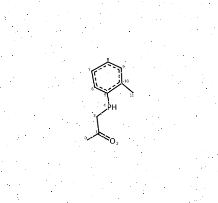 CC(=O)CPc1ccccc1C